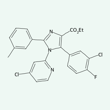 CCOC(=O)c1nc(-c2cccc(C)c2)n(-c2cc(Cl)ccn2)c1-c1ccc(F)c(Cl)c1